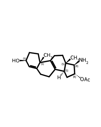 CC(=O)O[C@@H]1C[C@H]2C3=C(CC[C@]2(C)[C@H]1N)[C@@]1(C)CC[C@H](O)C=C1CC3